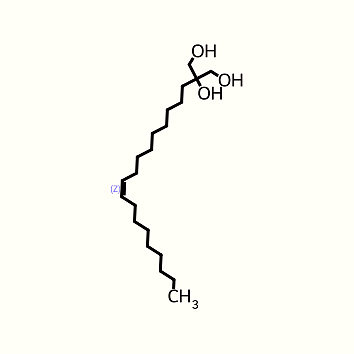 CCCCCCCC/C=C\CCCCCCCCC(O)(CO)CO